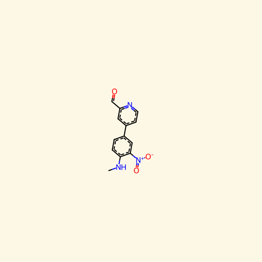 CNc1ccc(-c2ccnc(C=O)c2)cc1[N+](=O)[O-]